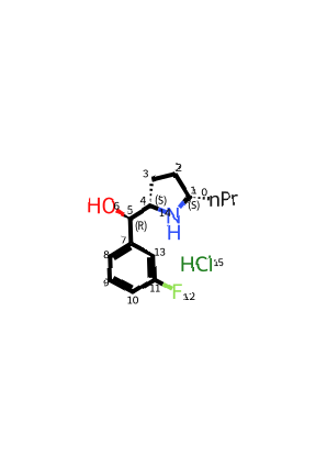 CCC[C@H]1CC[C@@H]([C@H](O)c2cccc(F)c2)N1.Cl